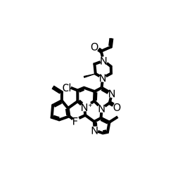 C=CC(=O)N1CCN(c2nc(=O)n3c4c2cc(Cl)c(-c2c(F)cccc2C=C)[n+]4C(C)c2nccc(C)c2-3)[C@@H](C)C1